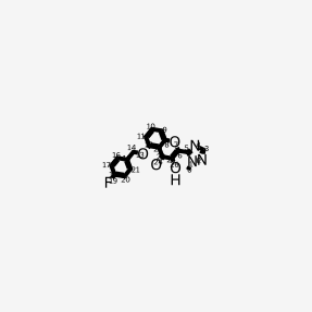 Cn1ncnc1-c1oc2cccc(OCc3ccc(F)cc3)c2c(=O)c1O